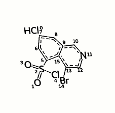 Cl.O=S(=O)(Cl)c1cccc2cncc(Br)c12